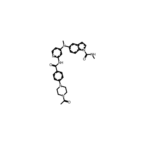 CNC(=O)n1ccc2cc(N(C)c3ccnc(NC(=O)c4ccc(N5CCN(C(C)=O)CC5)cc4)c3)ccc21